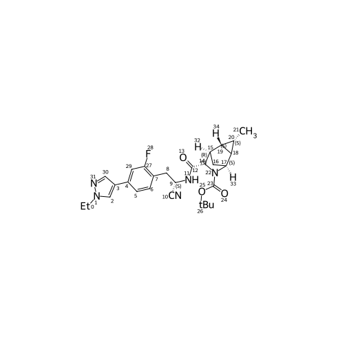 CCn1cc(-c2ccc(C[C@@H](C#N)NC(=O)[C@@H]3[C@@H]4C[C@@H](C5[C@H]4[C@@H]5C)N3C(=O)OC(C)(C)C)c(F)c2)cn1